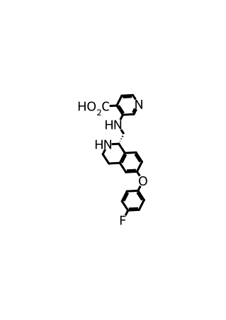 O=C(O)c1ccncc1NC[C@H]1NCCc2cc(Oc3ccc(F)cc3)ccc21